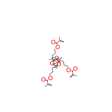 C=C(C)C(=O)OCCC[Si]1(C)O[Si](C)(CCCOC(=O)C(=C)C)O[Si](C)(CCCOC(=O)C(=C)C)O1